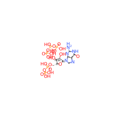 Nc1nc2c(ncn2[C@@H]2O[C@H](COP(=O)(O)OP(=O)(O)O)[C@@H](O)[C@H]2O)c(=O)[nH]1.O=P(O)(O)OP(=O)(O)OP(=O)(O)O